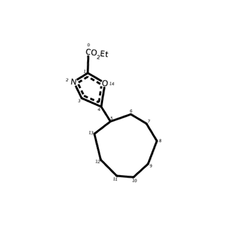 CCOC(=O)c1ncc(C2CCCCCCCC2)o1